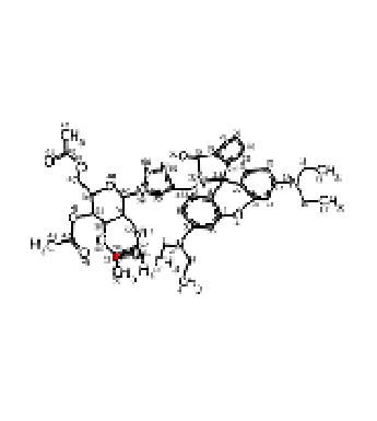 CCN(CC)c1ccc2c(c1)Oc1cc(N(CC)CC)ccc1C21c2ccccc2C(=O)N1Cc1cn(C2OC(COC(C)=O)C(OC(C)=O)C(OC(C)=O)C2NC(C)=O)nn1